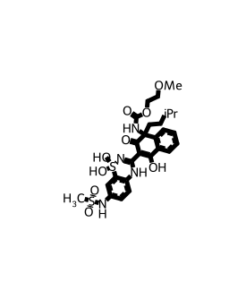 COCCOC(=O)NC1(CCC(C)C)C(=O)C(C2=NS(O)(O)c3cc(NS(C)(=O)=O)ccc3N2)=C(O)c2ccccc21